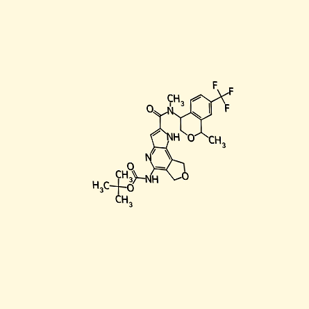 CC1OCC(N(C)C(=O)c2cc3nc(NC(=O)OC(C)(C)C)c4c(c3[nH]2)COC4)c2ccc(C(F)(F)F)cc21